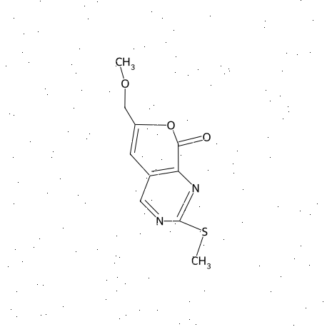 COCc1cc2cnc(SC)nc2c(=O)o1